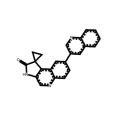 O=C1Nc2cnc3ccc(-c4cnc5ccccc5c4)cc3c2C12CC2